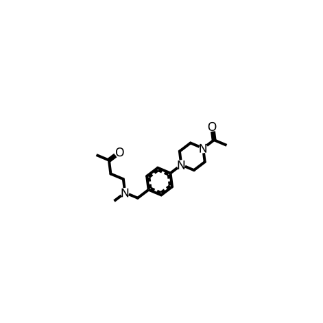 CC(=O)CCN(C)Cc1ccc(N2CCN(C(C)=O)CC2)cc1